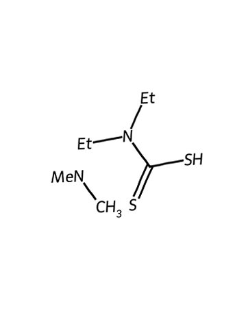 CCN(CC)C(=S)S.CNC